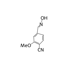 COc1cc(C=NO)ccc1C#N